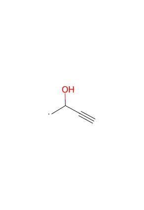 C#CC([CH2])O